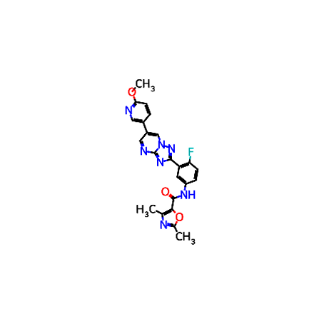 COc1ccc(-c2cnc3nc(-c4cc(NC(=O)c5oc(C)nc5C)ccc4F)nn3c2)cn1